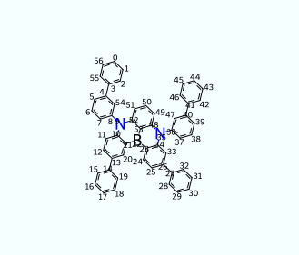 c1ccc(-c2cccc(N3c4ccc(-c5ccccc5)cc4B4c5ccc(-c6ccccc6)cc5N(c5cccc(-c6ccccc6)c5)c5cccc3c54)c2)cc1